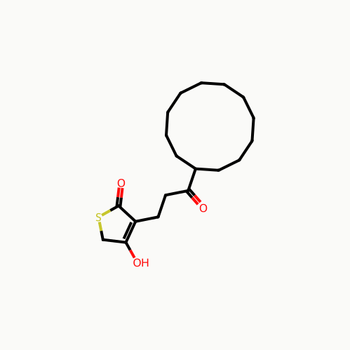 O=C1SCC(O)=C1CCC(=O)C1CCCCCCCCCCC1